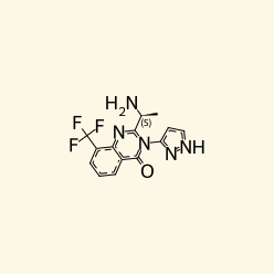 C[C@H](N)c1nc2c(C(F)(F)F)cccc2c(=O)n1-c1cc[nH]n1